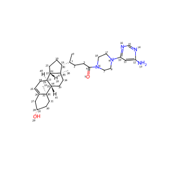 CC(CCC(=O)N1CCN(c2cc(N)ncn2)CC1)[C@H]1CC[C@H]2[C@@H]3CC=C4C[C@@H](O)CC[C@]4(C)[C@H]3CC[C@]12C